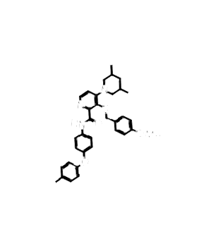 COc1ccc(CSc2c(N3CC(C)CC(C)C3)ccnc2C(=O)Nc2ccc(Oc3ccc(C)cc3)cc2)cc1